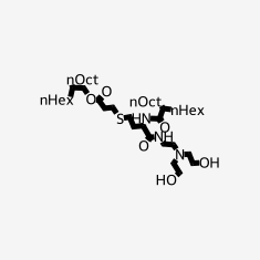 CCCCCCCCC(CCCCCC)COC(=O)CCSCCC(NC(=O)C(CCCCCC)CCCCCCCC)C(=O)NCCN(CCO)CCO